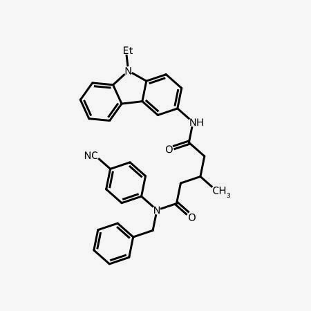 CCn1c2ccccc2c2cc(NC(=O)CC(C)CC(=O)N(Cc3ccccc3)c3ccc(C#N)cc3)ccc21